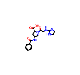 O=C(N[C@@H]1C[C@@H](C(=O)O)N(C(=O)CNC2=NCCN2)C1)c1ccccc1